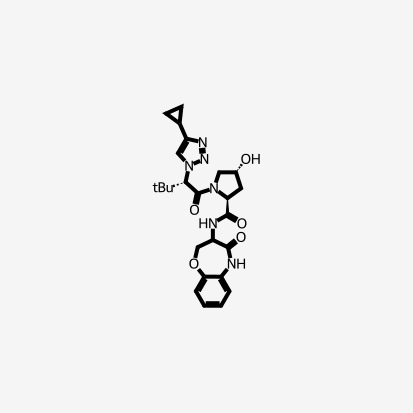 CC(C)(C)[C@@H](C(=O)N1C[C@H](O)C[C@H]1C(=O)NC1COc2ccccc2NC1=O)n1cc(C2CC2)nn1